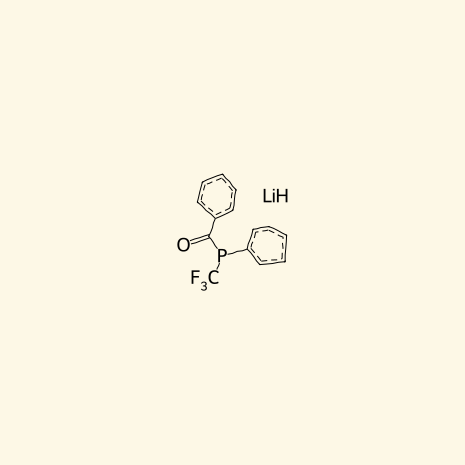 O=C(c1ccccc1)P(c1ccccc1)C(F)(F)F.[LiH]